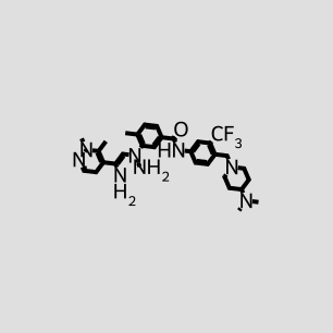 CC1=C(/C(N)=C/N(N)c2cc(C(=O)Nc3ccc(CN4CCC(N(C)C)CC4)c(C(F)(F)F)c3)ccc2C)CC=NN1C